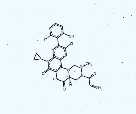 C=CC(=O)N1C[C@@H]2C(=O)Nc3c(c4cc(Cl)c(-c5c(O)cccc5F)nc4n(C4CC4)c3=O)N2C[C@H]1C